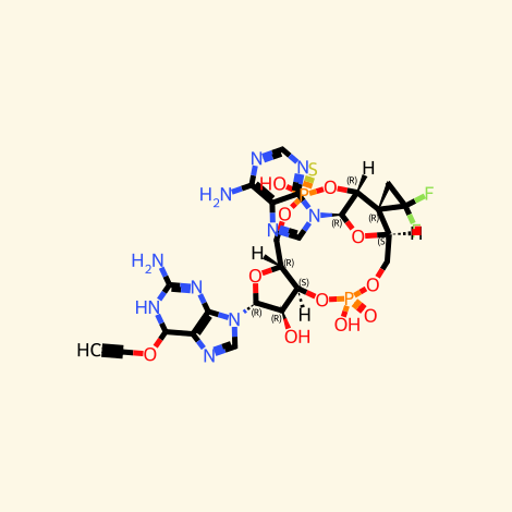 C#COC1NC(N)=Nc2c1ncn2[C@@H]1O[C@@H]2COP(O)(=S)O[C@H]3[C@H](n4cnc5c(N)ncnc54)O[C@H](COP(=O)(O)O[C@H]2[C@H]1O)[C@]31CC1(F)F